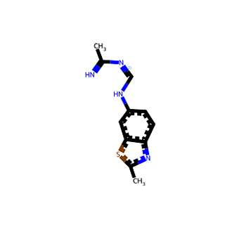 CC(=N)/N=C\Nc1ccc2nc(C)sc2c1